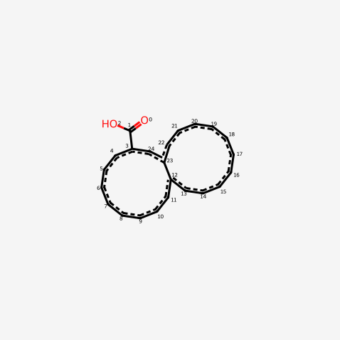 O=C(O)c1ccccccccc2ccccccccccc-2c1